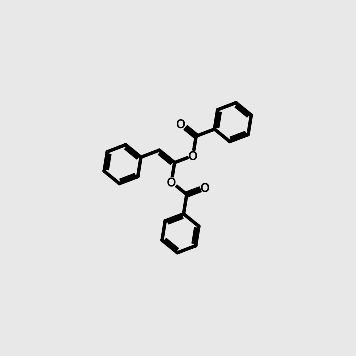 O=C(OC(=Cc1ccccc1)OC(=O)c1ccccc1)c1ccccc1